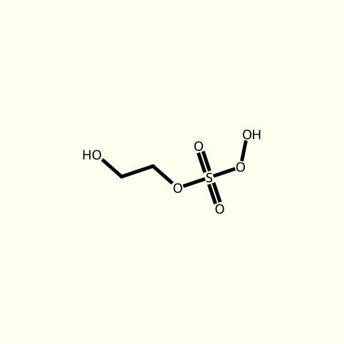 O=S(=O)(OO)OCCO